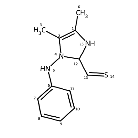 CC1=C(C)N(Nc2ccccc2)C(C=S)N1